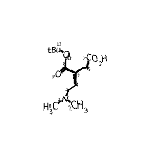 CN(C)CC=C(CC(=O)O)C(=O)OC(C)(C)C